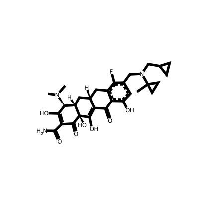 CN(C)[C@@H]1C(O)=C(C(N)=O)C(=O)[C@@]2(O)C(O)=C3C(=O)c4c(O)cc(CN(CC5CC5)C5(C)CC5)c(F)c4C[C@H]3C[C@@H]12